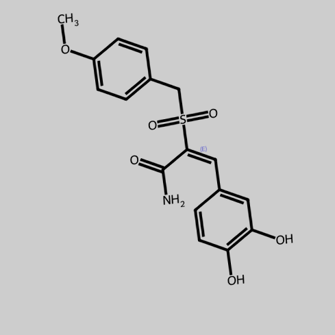 COc1ccc(CS(=O)(=O)/C(=C/c2ccc(O)c(O)c2)C(N)=O)cc1